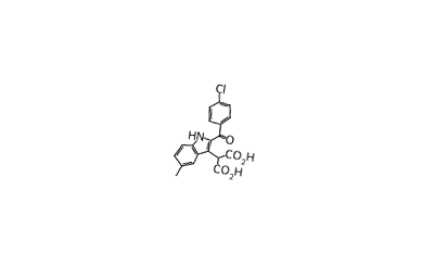 Cc1ccc2[nH]c(C(=O)c3ccc(Cl)cc3)c(C(C(=O)O)C(=O)O)c2c1